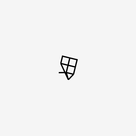 CC12C3C1C1CC4CC3C412